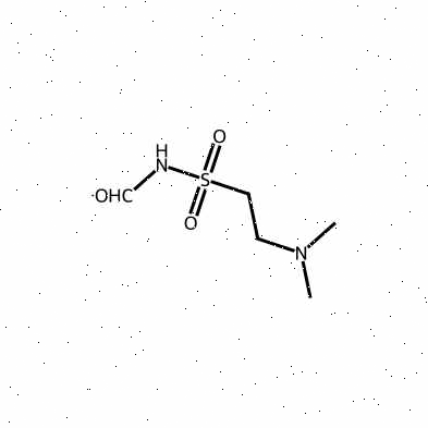 CN(C)CCS(=O)(=O)N[C]=O